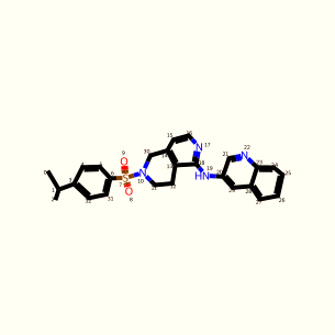 CC(C)c1ccc(S(=O)(=O)N2CCc3c(ccnc3Nc3cnc4ccccc4c3)C2)cc1